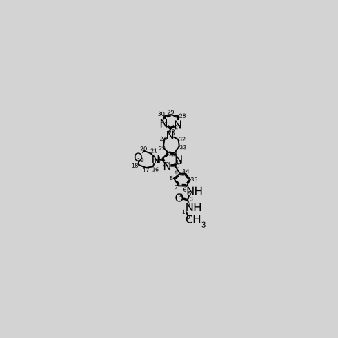 CCNC(=O)Nc1ccc(-c2nc3c(c(N4CCCOCC4)n2)CCN(c2ncccn2)CC3)cc1